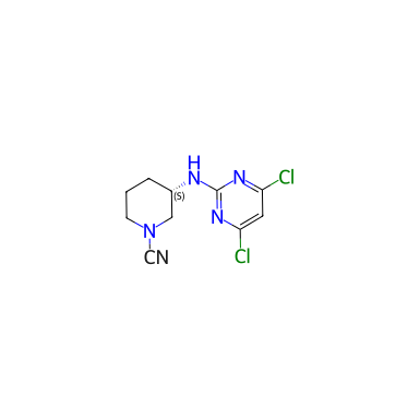 N#CN1CCC[C@H](Nc2nc(Cl)cc(Cl)n2)C1